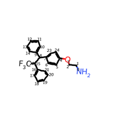 NCCOc1ccc(C(c2ccccc2)C(c2ccccc2)C(F)(F)F)cc1